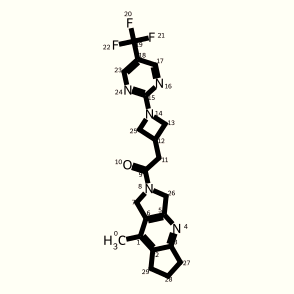 Cc1c2c(nc3c1CN(C(=O)CC1CN(c4ncc(C(F)(F)F)cn4)C1)C3)CCC2